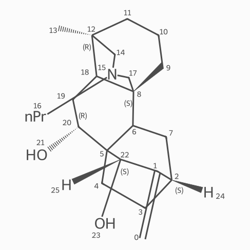 C=C1[C@H]2CCC3(C(C2)[C@@]24CCC[C@@](C)(CN(CCC)C2)C4C[C@H]3O)[C@H]1O